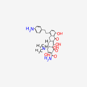 CN(C)[C@H]1C(O)=C(C(N)=O)C(=O)[C@@]2(O)C(O)=C3C(=O)c4c(O)ccc(CCc5ccc(N)cc5)c4C[C@@H]3C[C@H]12